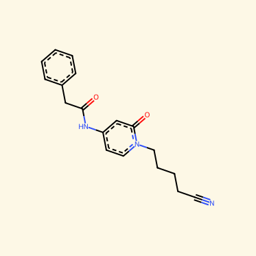 N#CCCCCn1ccc(NC(=O)Cc2ccccc2)cc1=O